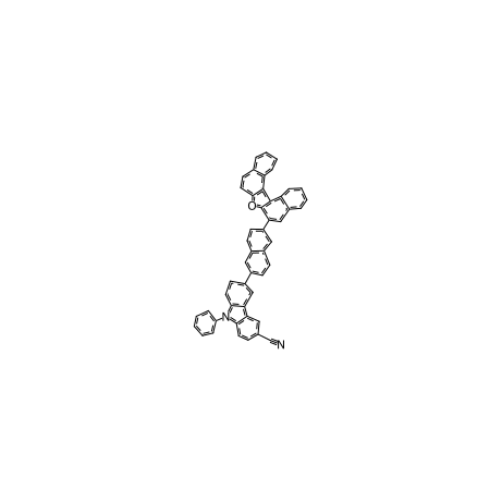 N#Cc1ccc2c(c1)c1cc(-c3ccc4cc(-c5cc6ccccc6c6c5oc5ccc7ccccc7c56)ccc4c3)ccc1n2-c1ccccc1